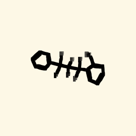 FC(F)(c1ccccc1)C(F)(F)C(F)(F)c1ccccc1Br